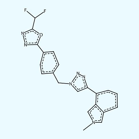 Cn1cc2cccc(-c3cn(Cc4ccc(-c5nnc(C(F)F)o5)cc4)nn3)c2c1